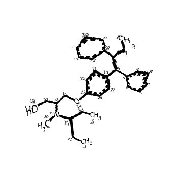 CC/C(=C(\c1ccccc1)c1ccc(OCC(CO)N(C)C(CC)CC)cc1)c1ccccc1